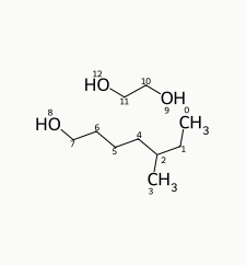 CCC(C)CCCCO.OCCO